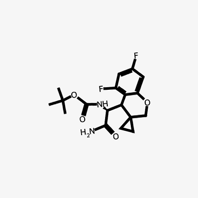 CC(C)(C)OC(=O)N[C@H](C(N)=O)C1c2c(F)cc(F)cc2OCC12CC2